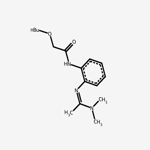 CCCCOCC(=O)Nc1ccccc1N=C(C)N(C)C